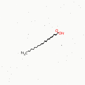 CCCCCCCCCC=CC=CC=CC=CC=CC(=O)O